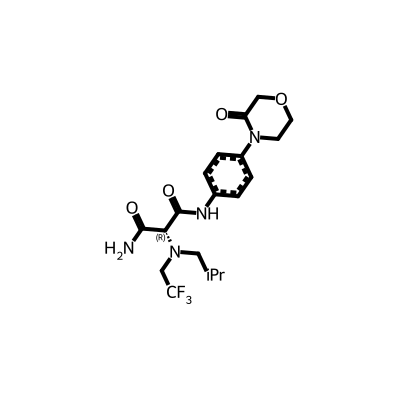 CC(C)CN(CC(F)(F)F)[C@H](C(N)=O)C(=O)Nc1ccc(N2CCOCC2=O)cc1